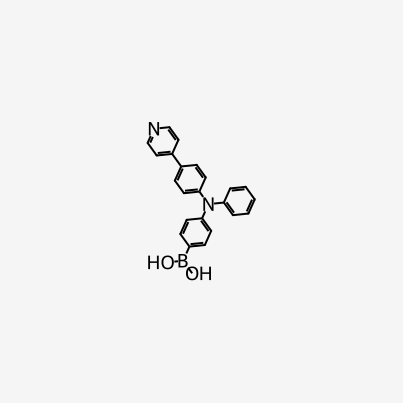 OB(O)c1ccc(N(c2ccccc2)c2ccc(-c3ccncc3)cc2)cc1